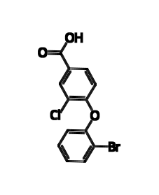 O=C(O)c1ccc(Oc2ccccc2Br)c(Cl)c1